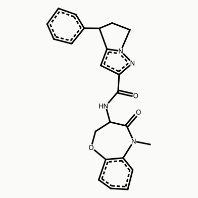 CN1C(=O)C(NC(=O)c2cc3n(n2)CCC3c2ccccc2)COc2ccccc21